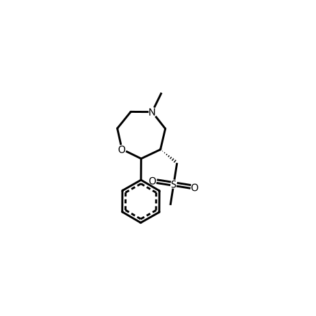 CN1CCOC(c2ccccc2)[C@@H](CS(C)(=O)=O)C1